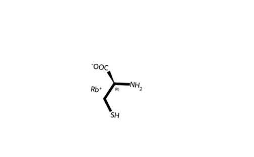 N[C@@H](CS)C(=O)[O-].[Rb+]